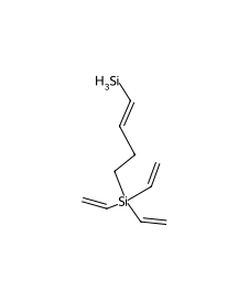 C=C[Si](C=C)(C=C)CCC=C[SiH3]